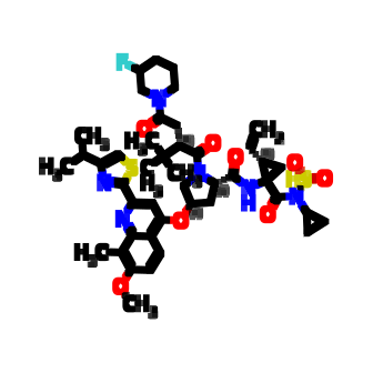 C=C[C@@H]1CC1(NC(=O)[C@@H]1C[C@@H](Oc2cc(-c3nc(C(C)C)cs3)nc3c(C)c(OC)ccc23)CN1C(=O)[C@@H](CC(=O)N1CCCC(F)C1)C(C)(C)C)C(=O)N(C1CC1)[SH](=O)=O